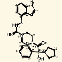 N=C(NCc1cccc2[nH]ccc12)N1CCN(C(=O)[C@](O)(c2ccccc2)C2CCCC2)CC1